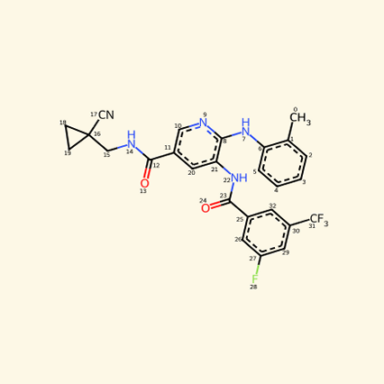 Cc1ccccc1Nc1ncc(C(=O)NCC2(C#N)CC2)cc1NC(=O)c1cc(F)cc(C(F)(F)F)c1